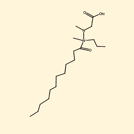 CC[CH][N+](C)(C(=O)CCCCCCCCCCC)N(C)CC(=O)O